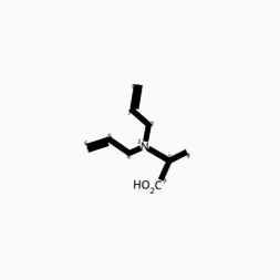 C=CCN(CC=C)C(C)C(=O)O